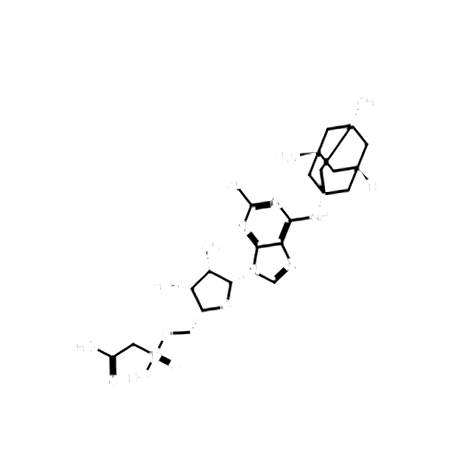 C[C@]12C[C@@H]3C[C@](C)(C1)C[C@@](Nc1nc(Cl)nc4c1ncn4[C@@H]1O[C@H](COP(=O)(O)CC(=O)O)[C@H](O)[C@@H]1O)(C3)C2